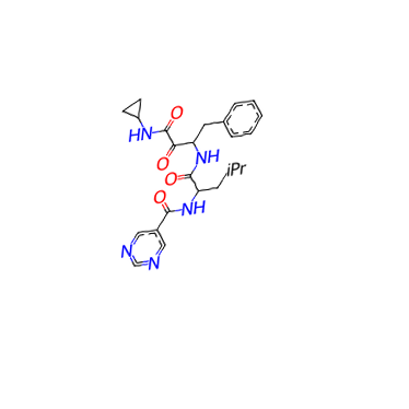 CC(C)CC(NC(=O)c1cncnc1)C(=O)NC(Cc1ccccc1)C(=O)C(=O)NC1CC1